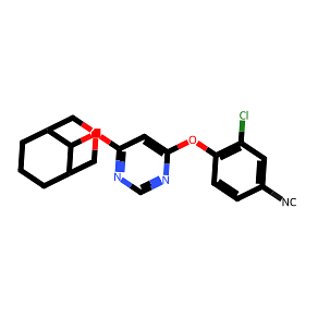 [C-]#[N+]c1ccc(Oc2cc(OC3C4CCCC3COC4)ncn2)c(Cl)c1